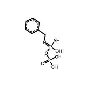 O=P(O)(O)OP(O)(S)=NCc1ccccc1